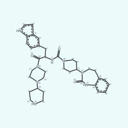 O=C(NC(Cc1ccc2[nH]ccc2c1)C(=O)N1CCN(C2CCNCC2)CC1)N1CCC(N2CCc3ccccc3NC2=O)CC1